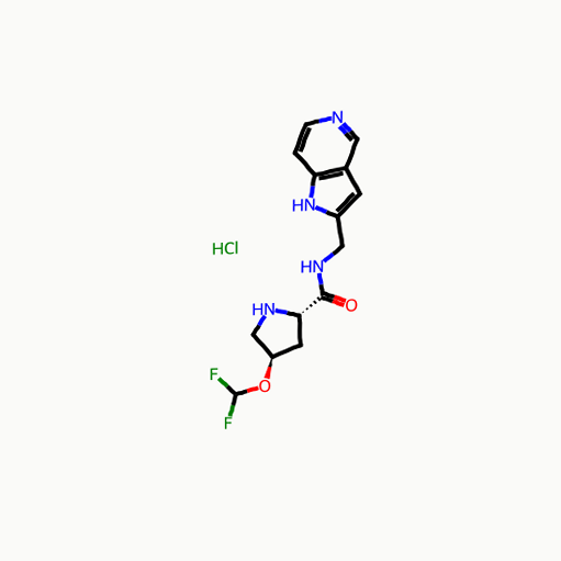 Cl.O=C(NCc1cc2cnccc2[nH]1)[C@@H]1C[C@@H](OC(F)F)CN1